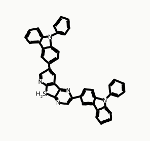 c1ccc(-n2c3ccccc3c3cc(-c4cnc5c(c4)-c4nc(-c6ccc7c(c6)c6ccccc6n7-c6ccccc6)cnc4[SiH2]5)ccc32)cc1